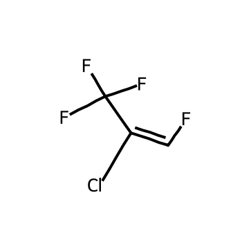 F/C=C(/Cl)C(F)(F)F